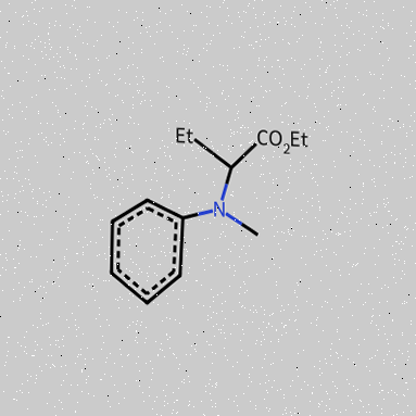 CCOC(=O)C(CC)N(C)c1ccccc1